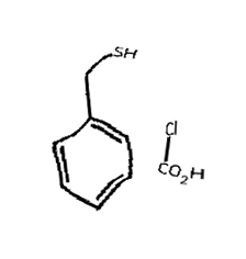 O=C(O)Cl.SCc1ccccc1